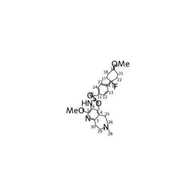 COc1nc2c(cc1NS(=O)(=O)c1ccc([C@]3(F)CC[C@@H](OC)CC3)cc1)CCN(C)CC2